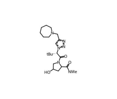 CNC(=O)C1CC(O)CN1C(=O)[C@@H](n1cc(CN2CCCCCC2)nn1)C(C)(C)C